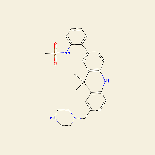 CC1(C)c2cc(CN3CCNCC3)ccc2Nc2ccc(-c3ccccc3NS(C)(=O)=O)cc21